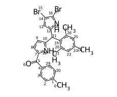 Cc1ccc(C(=O)c2ccc(C(c3cc(Br)c(Br)[nH]3)c3c(C)cc(C)cc3C)[nH]2)cc1